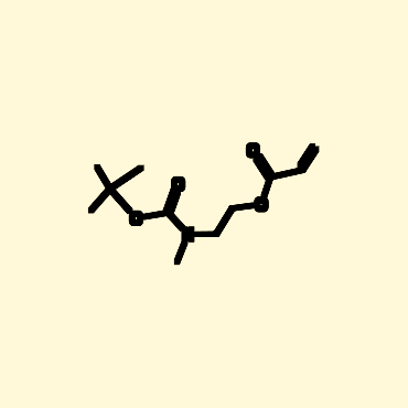 C=CC(=O)OCCN(C)C(=O)OC(C)(C)C